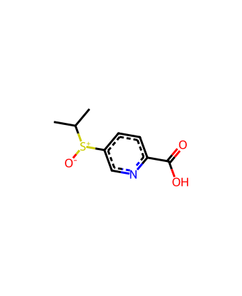 CC(C)[S+]([O-])c1ccc(C(=O)O)nc1